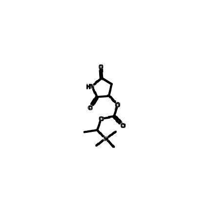 CC(OC(=O)OC1CC(=O)NC1=O)[Si](C)(C)C